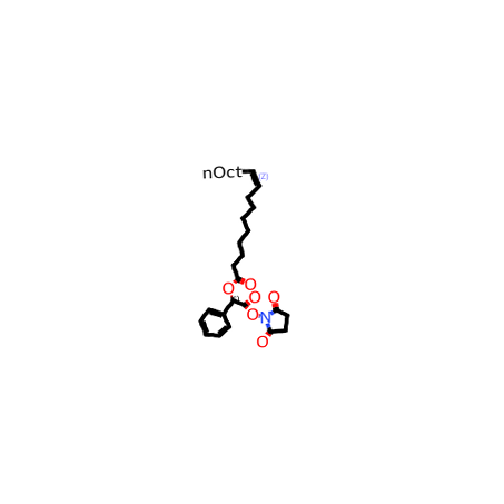 CCCCCCCC/C=C\CCCCCCCC(=O)O[C@H](C(=O)ON1C(=O)CCC1=O)c1ccccc1